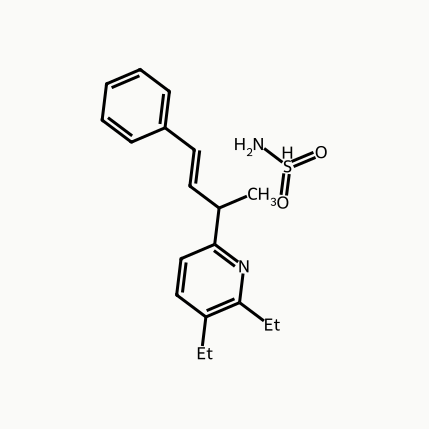 CCc1ccc(C(C)C=Cc2ccccc2)nc1CC.N[SH](=O)=O